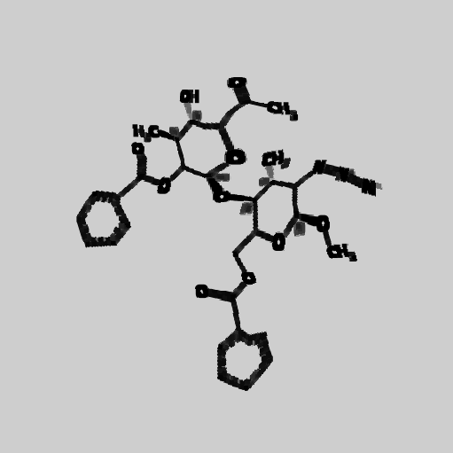 CO[C@H]1OC(COC(=O)c2ccccc2)[C@@H](O[C@@H]2OC(C(C)=O)[C@@H](O)[C@H](C)C2OC(=O)c2ccccc2)[C@H](C)C1N=[N+]=[N-]